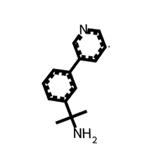 CC(C)(N)c1cccc(-c2c[c]cnc2)c1